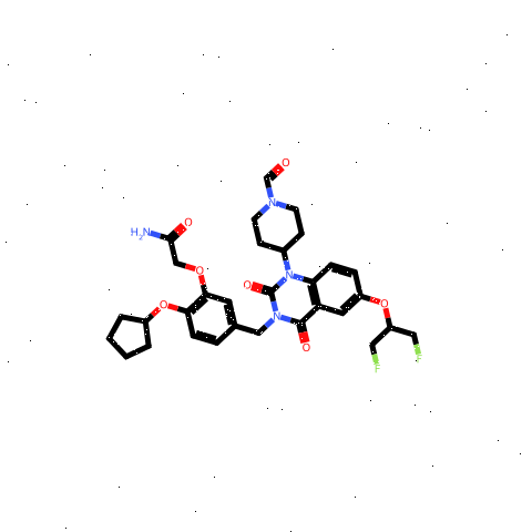 NC(=O)COc1cc(Cn2c(=O)c3cc(OC(CF)CF)ccc3n(C3CCN(C=O)CC3)c2=O)ccc1OC1CCCC1